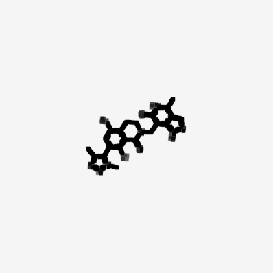 Cc1nnn(C)c1-c1cc(Br)c2c(c1Cl)C(=O)N(Cc1c(=O)[nH]c(C)c3cn[nH]c13)CC2